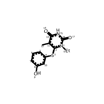 CCn1c(Sc2cccc(O)c2)c(C)c(=O)[nH]c1=O